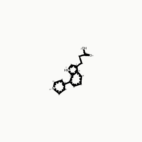 O=C(O)CCc1c[nH]c2c(-c3ccncc3)cccc12